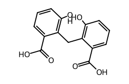 O=C(O)c1cccc(O)c1Cc1c(O)cccc1C(=O)O